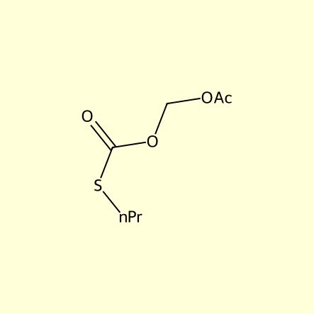 CCCSC(=O)OCOC(C)=O